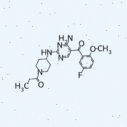 CCC(=O)N1CCC(Nc2ncc(C(=O)c3cc(F)ccc3OC)c(N)n2)CC1